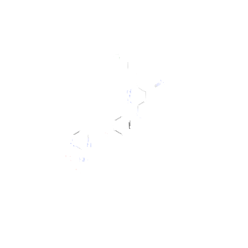 CN(c1ccc(OCc2ccnc(NS(C)(=O)=O)n2)cc1)c1cc(C#N)c(OCCCl)nn1